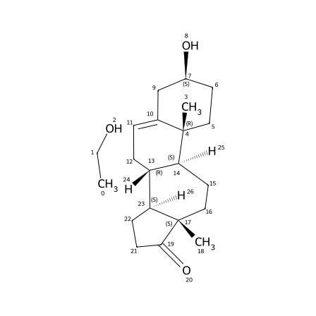 CCO.C[C@]12CC[C@H](O)CC1=CC[C@@H]1[C@@H]2CC[C@]2(C)C(=O)CC[C@@H]12